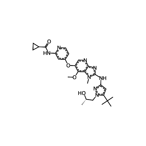 COc1c(Oc2ccnc(NC(=O)C3CC3)c2)cnc2nc(Nc3cc(C(C)(C)C)n(C[C@H](C)O)n3)n(C)c12